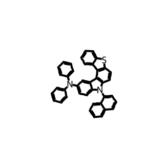 c1ccc(N(c2ccccc2)c2ccc3c(c2)c2c4c(ccc2n3-c2cccc3ccccc23)sc2ccccc24)cc1